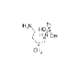 C[C@@H](CN)CCN.O=S(=O)(O)O.[Pt]